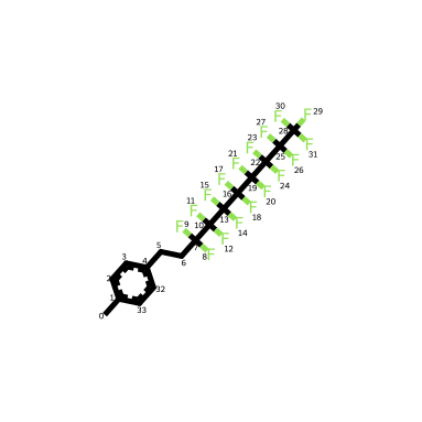 Cc1ccc(CCC(F)(F)C(F)(F)C(F)(F)C(F)(F)C(F)(F)C(F)(F)C(F)(F)C(F)(F)F)cc1